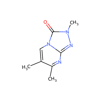 Cc1cn2c(=O)n(C)nc2nc1C